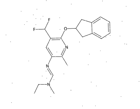 CCN(C)/C=N/c1cc(C(F)F)c(OC2Cc3ccccc3C2)nc1C